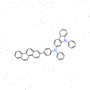 C1=CCC2C(=C1)N(c1ccccc1)c1cc(N(c3ccccc3)c3ccc(-c4ccc5c(ccc6c7ccccc7ccc56)c4)cc3)ccc12